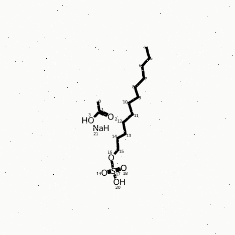 CC(=O)O.CCCCCCCCCCCCOS(=O)(=O)O.[NaH]